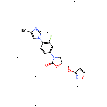 N#Cc1cn(-c2ccc(N3C[C@H](COc4ccon4)OC3=O)cc2F)cn1